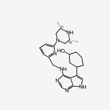 C[C@@H]1CN(c2cccc(CNc3ncnc4[nH]cc(C5CCCC(O)C5)c34)n2)C[C@H](C)N1